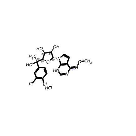 CO/N=c1/nc[nH]c2c1ccn2[C@@H]1O[C@H]([C@](C)(O)c2ccc(Cl)c(Cl)c2)[C@@H](O)[C@H]1O.Cl